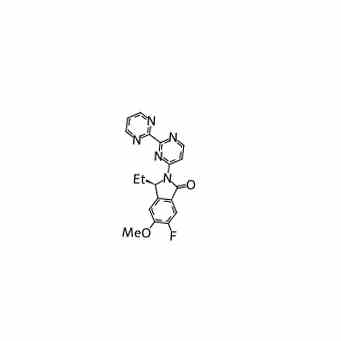 CC[C@@H]1c2cc(OC)c(F)cc2C(=O)N1c1ccnc(-c2ncccn2)n1